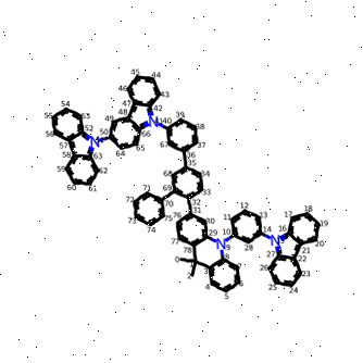 CC1(C)c2ccccc2N(c2cccc(-n3c4ccccc4c4ccccc43)c2)c2cc(-c3ccc(-c4cccc(-n5c6ccccc6c6cc(-n7c8ccccc8c8ccccc87)ccc65)c4)cc3-c3ccccc3)ccc21